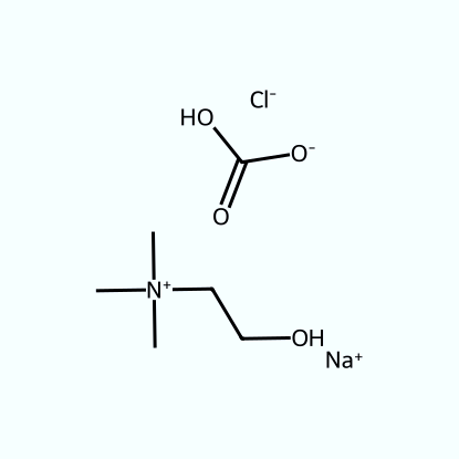 C[N+](C)(C)CCO.O=C([O-])O.[Cl-].[Na+]